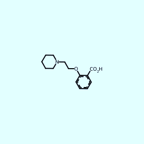 O=C(O)c1ccccc1OCCN1CCCCC1